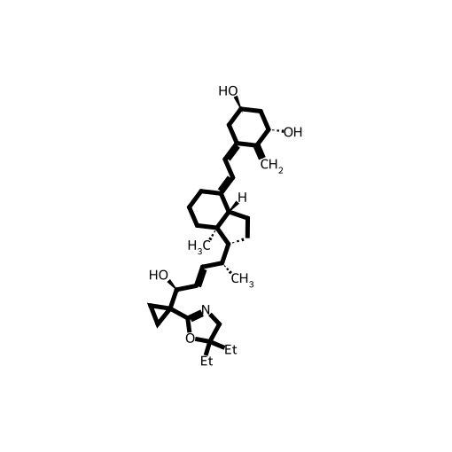 C=C1/C(=C\C=C2/CCC[C@]3(C)[C@@H]([C@H](C)/C=C/[C@H](O)C4(C5=NCC(CC)(CC)O5)CC4)CC[C@@H]23)C[C@@H](O)C[C@@H]1O